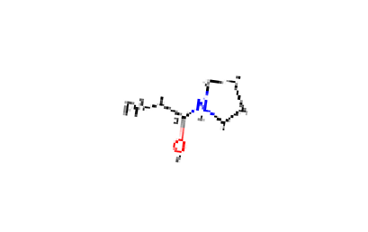 C[C](C)CC(=O)N1CCCC1